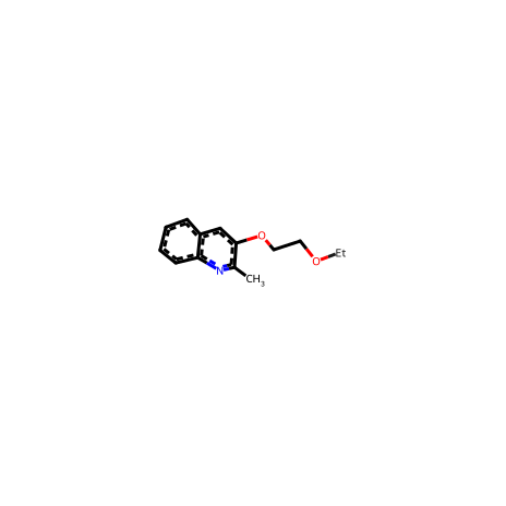 CCOCCOc1cc2ccccc2nc1C